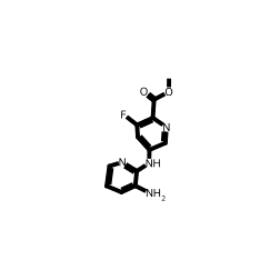 COC(=O)c1ncc(Nc2ncccc2N)cc1F